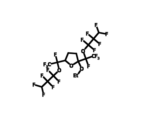 CCOC1(C(F)(OC(F)(F)C(F)(F)C(F)F)C(F)(F)F)CCC(C(F)(OC(F)(F)C(F)(F)C(F)F)C(F)(F)F)O1